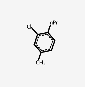 CCCc1ccc(C)cc1Cl